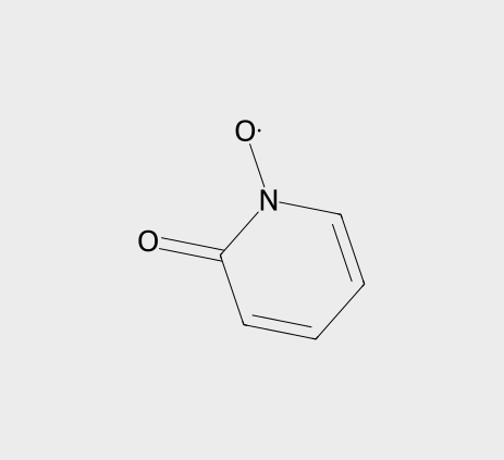 [O]n1ccccc1=O